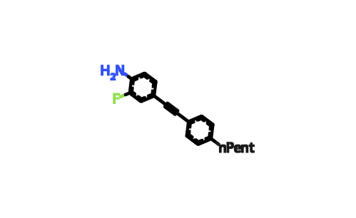 CCCCCc1ccc(C#Cc2ccc(N)c(F)c2)cc1